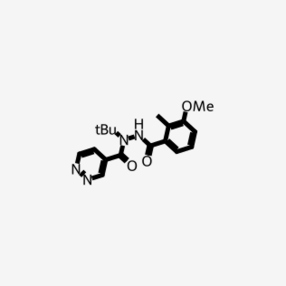 COc1cccc(C(=O)NN(C(=O)c2ccnnc2)C(C)(C)C)c1C